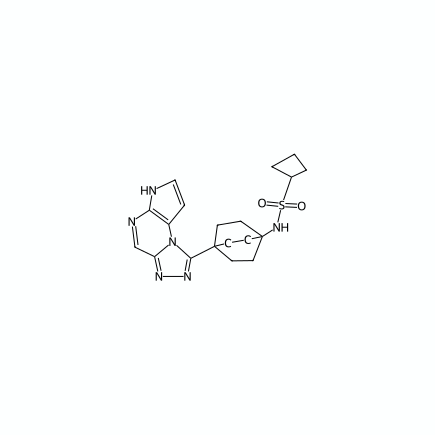 O=S(=O)(NC12CCC(c3nnc4cnc5[nH]ccc5n34)(CC1)CC2)C1CCC1